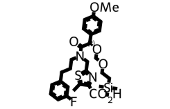 COc1ccc([C@@H](OCOCC[Si](C)(C)C)C(=O)N(CCCc2cccc(F)c2)Cc2nc(C(=O)O)c(C)s2)cc1